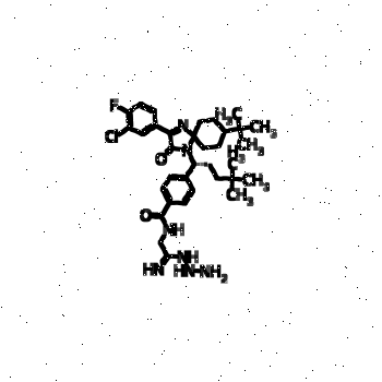 CC(C)(C)CC[C@H](c1ccc(C(=O)NCC(=N)NNN)cc1)N1C(=O)C(c2ccc(F)c(Cl)c2)=NC12CCC(C(C)(C)C)CC2